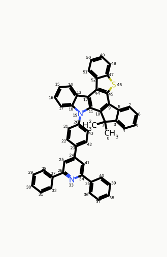 CC1(C)c2ccccc2-c2c1c1c(c3ccccc3n1-c1ccc(-c3cc(-c4ccccc4)nc(-c4ccccc4)c3)cc1)c1c2sc2ccccc21